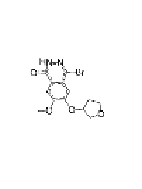 COc1cc2c(=O)[nH]nc(Br)c2cc1OC1CCOC1